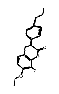 CCCc1ccc(C2Cc3ccc(OCC)c(F)c3OC2=O)cc1